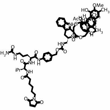 COc1c(C)cc2c(c1O)[C@H]1[C@@H]3[C@@H]4SC[C@]5(N[C@H](CNC(=O)OCc6ccc(NC(=O)[C@H](CCCNC(N)=O)NC(=O)[C@@H](NC(=O)CCCCCN7C(=O)C=CC7=O)C(C)C)cc6)Cc6c5[nH]c5ccccc65)C(=O)OC[C@@H](c5c6c(c(C)c(OC(C)=O)c54)OCO6)N3C(C)(C2)CN1C